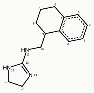 c1ccc2c(c1)CCCC2CNC1=NCCN1